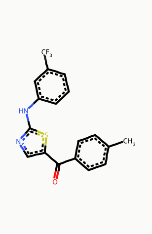 Cc1ccc(C(=O)c2cnc(Nc3cccc(C(F)(F)F)c3)s2)cc1